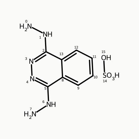 NNc1nnc(NN)c2ccccc12.O=S(=O)(O)O